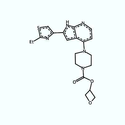 CCc1nc(-c2cc3c(N4CCN(C(=O)OC5COC5)CC4)ccnc3[nH]2)cs1